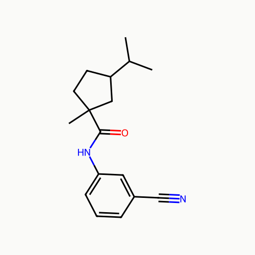 CC(C)C1CCC(C)(C(=O)Nc2cccc(C#N)c2)C1